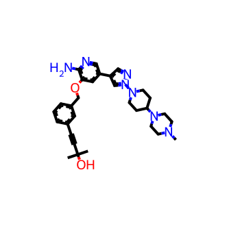 CN1CCN(C2CCN(n3cc(-c4cnc(N)c(OCc5cccc(C#CC(C)(C)O)c5)c4)cn3)CC2)CC1